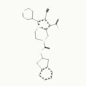 N#Cc1c(C(N)=O)c2n(c1C1CCOCC1)CCN(C(=O)NC1Cc3ccccc3C1)C2